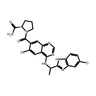 CC(Nc1ncnc2cc(C(=O)N3CCC[C@@H]3C(N)=O)c(Cl)cc12)c1nc2cc(Cl)ccc2[nH]1